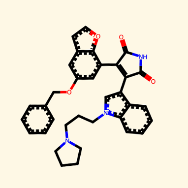 O=C1NC(=O)C(c2cc(OCc3ccccc3)cc3ccoc23)=C1c1cn(CCCN2CCCC2)c2ccccc12